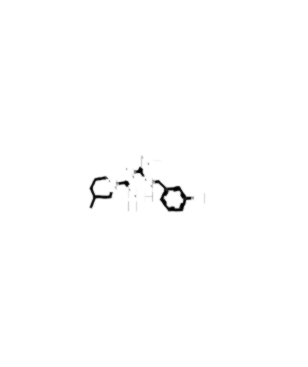 CC1CCCN(C(=N)NC(=N)NCc2cccc(C(F)(F)F)c2)C1